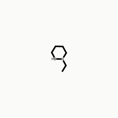 CCN1BCCCC1